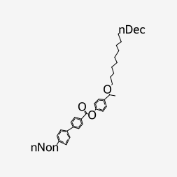 CCCCCCCCCCCCCCCCCCCCOC(C)c1ccc(OC(=O)c2ccc(-c3ccc(CCCCCCCCC)cc3)cc2)cc1